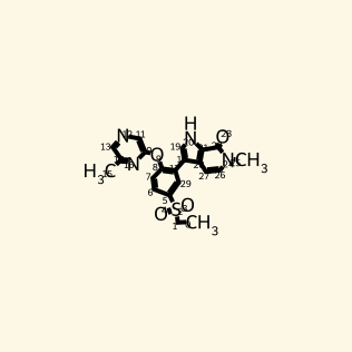 CCS(=O)(=O)c1ccc(Oc2cncc(C)n2)c(-c2c[nH]c3c(=O)n(C)ccc23)c1